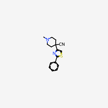 CN1CCC(C#N)(c2csc(-c3ccccc3)n2)CC1